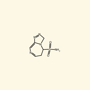 NS(=O)(=O)C1CC=NC=C2N=NCN21